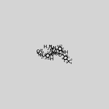 CC(C)(C)c1ccc(C(=O)Nc2cccc(-c3nc(N)nc(Nc4ccc(CN5CCOCC5)cc4)n3)c2CO)cc1